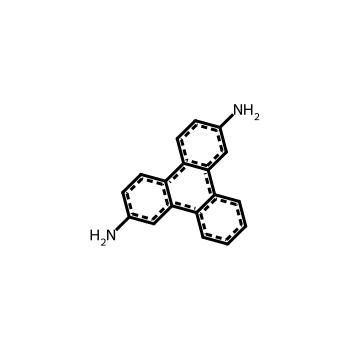 Nc1ccc2c3ccc(N)cc3c3ccccc3c2c1